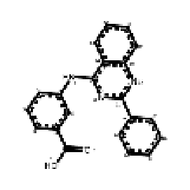 O=C(O)c1cccc(Nc2nc(-c3ccccc3)nc3ccccc23)c1